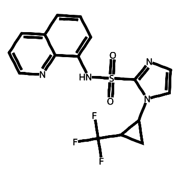 O=S(=O)(Nc1cccc2cccnc12)c1nccn1C1CC1C(F)(F)F